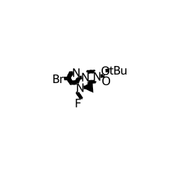 CC(C)(C)OC(=O)N1CCN(c2ncc(Br)cc2N(CCF)C2CC2)CC1